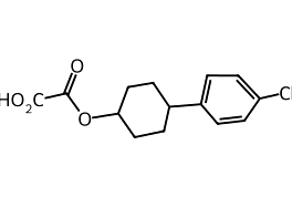 O=C(O)C(=O)OC1CCC(c2ccc(Cl)cc2)CC1